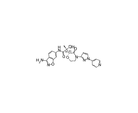 C[C@](O)(C(=O)Nc1ccc2c(N)noc2c1)[C@H]1OCCN(c2ccn(-c3ccncc3)n2)C1=O